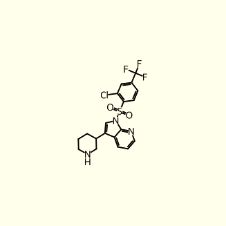 O=S(=O)(c1ccc(C(F)(F)F)cc1Cl)n1cc(C2CCCNC2)c2cccnc21